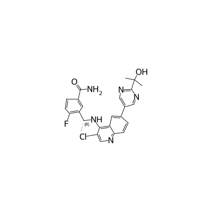 C[C@@H](Nc1c(Cl)cnc2ccc(-c3cnc(C(C)(C)O)nc3)cc12)c1cc(C(N)=O)ccc1F